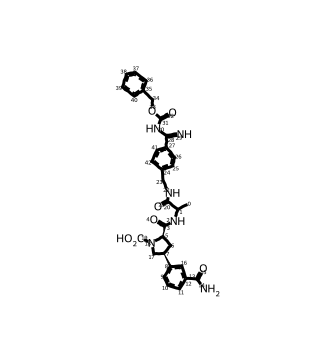 CC(NC(=O)[C@H]1C[C@@H](c2cccc(C(N)=O)c2)CN1C(=O)O)C(=O)NCc1ccc(C(=N)NC(=O)OCc2ccccc2)cc1